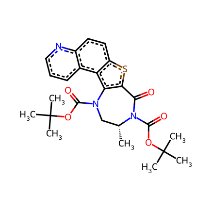 C[C@@H]1CN(C(=O)OC(C)(C)C)c2c(sc3ccc4ncccc4c23)C(=O)N1C(=O)OC(C)(C)C